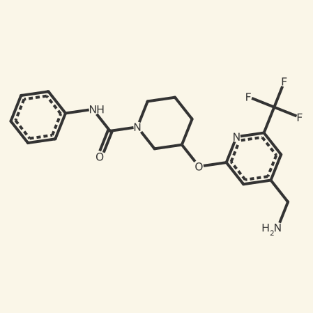 NCc1cc(OC2CCCN(C(=O)Nc3ccccc3)C2)nc(C(F)(F)F)c1